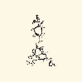 COc1cc(C)c2c(=O)oc(SCc3ccc(C(F)(F)F)cc3)nc2c1